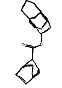 O=C(OC1CC2CC1C1CCCC21)C1CC2C=CC1C2